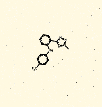 Cn1nnc(-c2ccccc2Nc2ccc(C(F)(F)F)cc2)n1